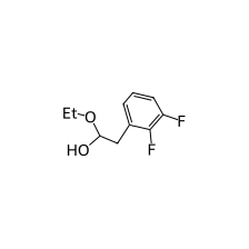 CCOC(O)Cc1cccc(F)c1F